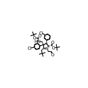 CC(C)(C)C[C@@H]1N(CC=O)[C@@H](C(=O)OC(C)(C)C)[C@H](c2cccc(Cl)c2)[C@@]1(CNC(=O)OC(C)(C)C)c1ccc(Cl)cc1F